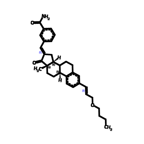 CCCCOC/C=C/c1ccc2c(c1)CCC1[C@@H]2CC[C@]2(C)C(=O)/C(=C/c3cccc(C(N)=O)c3)C[C@@H]12